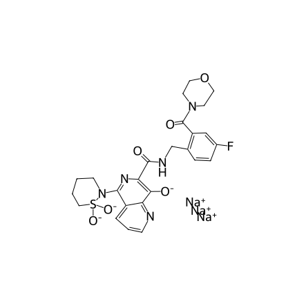 O=C(NCc1ccc(F)cc1C(=O)N1CCOCC1)c1nc(N2CCCCS2([O-])[O-])c2cccnc2c1[O-].[Na+].[Na+].[Na+]